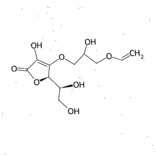 C=COCC(O)COC1=C(O)C(=O)O[C@@H]1[C@@H](O)CO